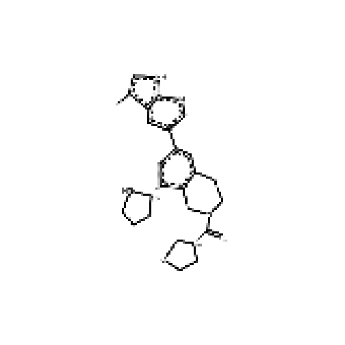 Cc1c[nH]c2ncc(-c3cc4c(c([C@@H]5CCCN5)c3)CN(C(=O)[C@@H]3CCOC3)CC4)cc12